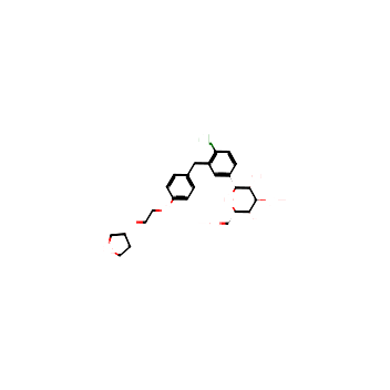 OC[C@H]1O[C@@H](c2ccc(Cl)c(Cc3ccc(OCCO[C@@H]4CCOC4)cc3)c2)[C@H](O)[C@@H](O)[C@@H]1O